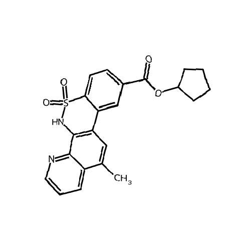 Cc1cc2c(c3ncccc13)NS(=O)(=O)c1ccc(C(=O)OC3CCCC3)cc1-2